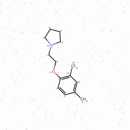 Cc1ccc(OCCN2CCCC2)c(C(F)(F)F)c1